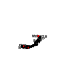 CSCCC(NS(=O)(=O)c1cnc(N2CCC(CCCCCCCC3CCN(S(=O)(=O)c4cc(Br)c(Cl)s4)CC3)CC2)c(Br)c1)C(=O)O